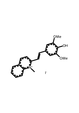 COc1cc(/C=C/c2ccc3ccccc3[n+]2C)cc(OC)c1O.[I-]